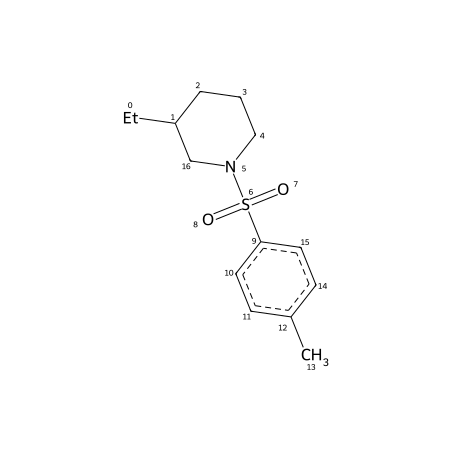 CCC1CCCN(S(=O)(=O)c2ccc(C)cc2)C1